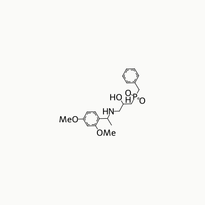 COc1ccc(C(C)NCC(O)CP(=O)(O)Cc2ccccc2)c(OC)c1